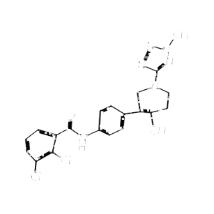 CC1=C(c2ccc(NC(=O)c3cccc(Cl)c3Cl)cc2)CN(c2nnn(C)n2)CC1